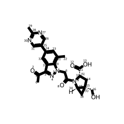 CC(=O)c1nn(CC(=O)N2[C@H](C(=O)O)C[C@@]3(CO)C[C@@H]23)c2c(C)cc(-c3cnc(C)nc3)cc12